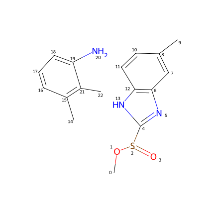 COS(=O)c1nc2cc(C)ccc2[nH]1.Cc1cccc(N)c1C